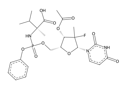 CC(=O)O[C@H]1[C@@H](COP(=O)(N[C@](C)(C(=O)O)C(C)C)Oc2ccccc2)O[C@@H](n2ccc(=O)[nH]c2=O)C1(C)F